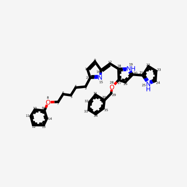 C1=CC(CCCCCOc2ccccc2)=NC1=Cc1[nH]c(-c2ccc[nH]2)cc1OCc1ccccc1